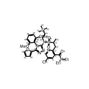 CCN(CC)C(=O)c1cc(Cl)cnc1CC(C)S(=O)(=O)N(CC[Si](C)(C)C)c1nnc(-c2ccco2)n1-c1c(OC)cccc1OC